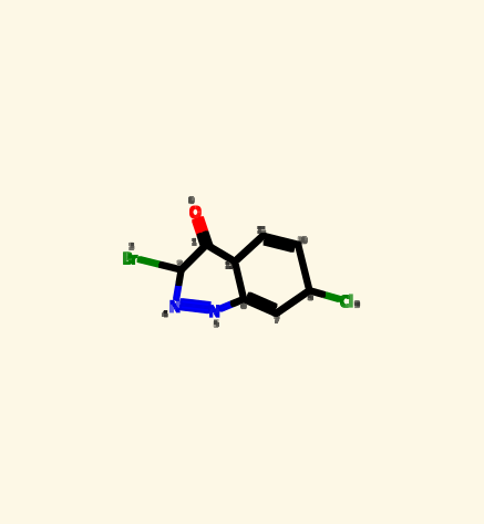 O=C1C(Br)N=NC2=CC(Cl)C=CC12